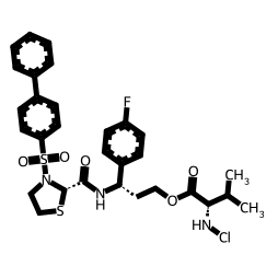 CC(C)[C@H](NCl)C(=O)OCC[C@H](NC(=O)[C@@H]1SCCN1S(=O)(=O)c1ccc(-c2ccccc2)cc1)c1ccc(F)cc1